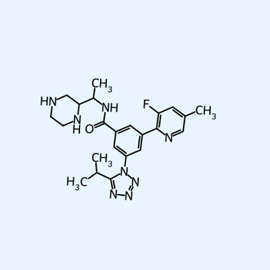 Cc1cnc(-c2cc(C(=O)NC(C)C3CNCCN3)cc(-n3nnnc3C(C)C)c2)c(F)c1